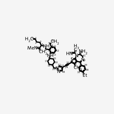 C=CCCC(NCc1c(C=C)cccc1NC1CCC(Cn2cc(C#Cc3sc4c(c3C)C(c3ccc(CC)cc3)=NCC(N)N4C(C)=N)cn2)CC1)C(=C)NC